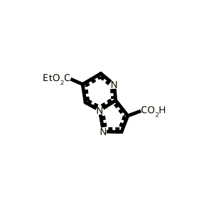 CCOC(=O)c1cnc2c(C(=O)O)cnn2c1